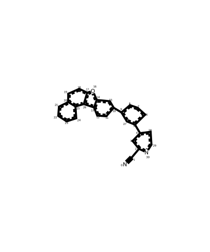 N#Cc1cc(-c2cccc(-c3ccc4c(c3)oc3ccc5ccccc5c34)c2)ccn1